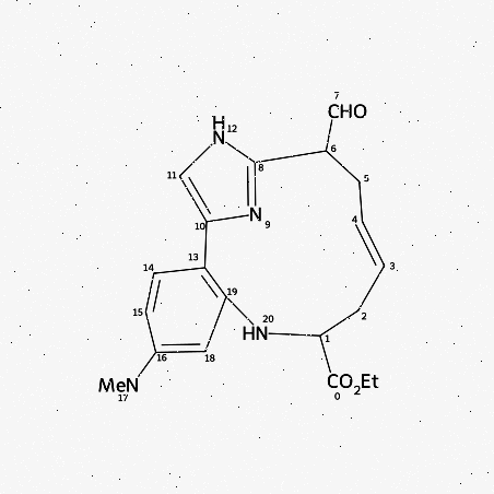 CCOC(=O)C1C/C=C/CC(C=O)c2nc(c[nH]2)-c2ccc(NC)cc2N1